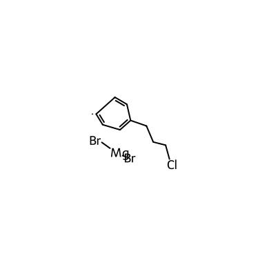 ClCCCc1cc[c]cc1.[Br][Mg][Br]